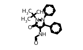 CC(C)(C)n1c(=O)c(NC=O)c(-c2ccccc2)n1-c1ccccc1